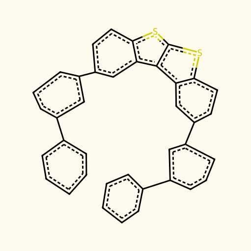 c1ccc(-c2cccc(-c3ccc4sc5sc6ccc(-c7cccc(-c8ccccc8)c7)cc6c5c4c3)c2)cc1